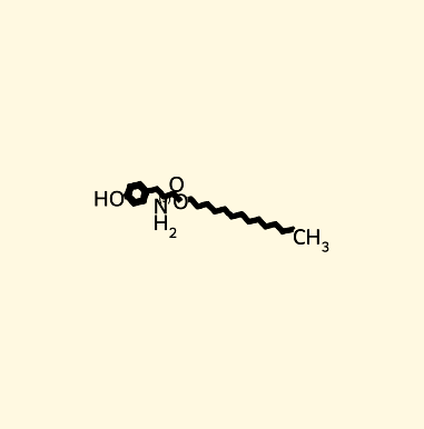 CCCCCCCCCCCCCCOC(=O)[C@@H](N)Cc1ccc(O)cc1